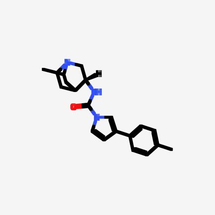 Cc1ccc(-c2ccn(C(=O)N[C@H]3CN4CCC3CC4C)c2)cc1